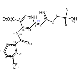 CCOC(=O)C1=CN/C(=C\C(=N)CCC(C)(C)O)C=C1NC(=O)c1cccc(C(F)(F)F)n1